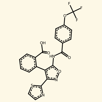 O=C(Nc1onc(-c2nccs2)c1-c1ccccc1C(=O)O)c1ccc(OC(F)(F)F)cc1